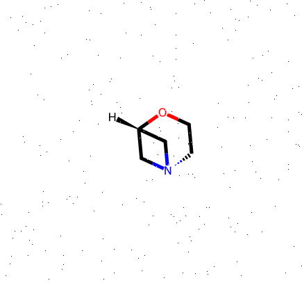 C1C[N@]2C[C@@H](C2)O1